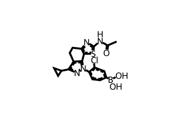 CC(=O)Nc1nc2c(s1)-c1c(c(C3CC3)nn1-c1ccc(B(O)O)cc1Cl)CC2